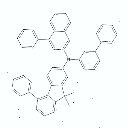 CC1(C)c2cc(N(c3cccc(-c4ccccc4)c3)c3cc(-c4ccccc4)c4ccccc4c3)ccc2-c2c(-c3ccccc3)cccc21